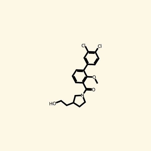 COc1c(C(=O)N2CCC(CCO)C2)cccc1-c1ccc(Cl)c(Cl)c1